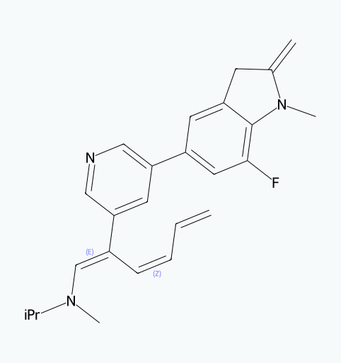 C=C/C=C\C(=C/N(C)C(C)C)c1cncc(-c2cc(F)c3c(c2)CC(=C)N3C)c1